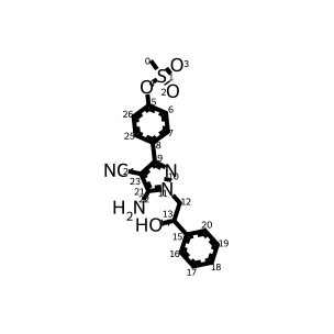 CS(=O)(=O)Oc1ccc(-c2nn(CC(O)c3ccccc3)c(N)c2C#N)cc1